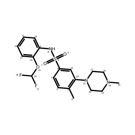 Cc1ccc(S(=O)(=O)Nc2ccccc2OC(F)F)cc1N1CCN(C)CC1